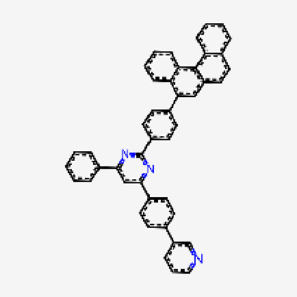 c1ccc(-c2cc(-c3ccc(-c4cccnc4)cc3)nc(-c3ccc(-c4cc5ccc6ccccc6c5c5ccccc45)cc3)n2)cc1